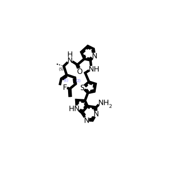 C=C(F)/C=C\C(=C/C)[C@H](C)NC(=O)c1cccnc1NCc1ccc(-c2c[nH]c3ncnc(N)c23)s1